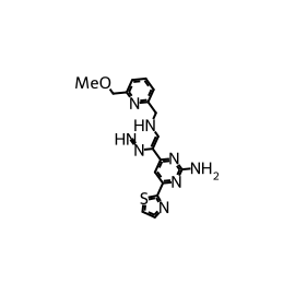 COCc1cccc(CN/C=C(\N=N)c2cc(-c3nccs3)nc(N)n2)n1